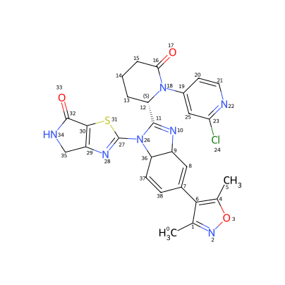 Cc1noc(C)c1C1=CC2N=C([C@@H]3CCCC(=O)N3c3ccnc(Cl)c3)N(c3nc4c(s3)C(=O)NC4)C2C=C1